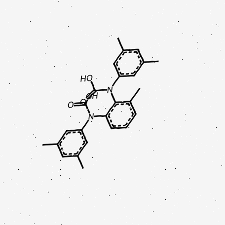 Cc1cc(C)cc(N(C(=O)O)c2c[c]cc(C)c2N(C(=O)O)c2cc(C)cc(C)c2)c1